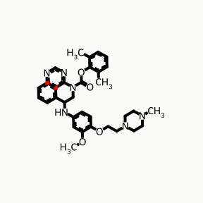 COc1cc(NC(CN(C(=O)Oc2c(C)cccc2C)c2ccncn2)c2ccccc2)ccc1OCCN1CCN(C)CC1